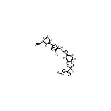 C#Cc1cccc(-c2nc(CCOc3ccc(OC(C)(C)C(=O)OCC)cc3)c(C)o2)c1